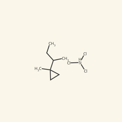 CCC(C)C1(C)CC1.Cl[SiH](Cl)Cl